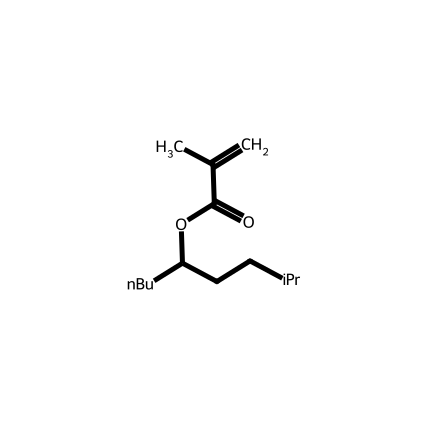 C=C(C)C(=O)OC(CCCC)CCC(C)C